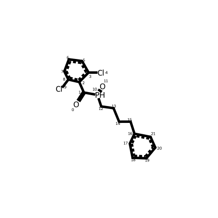 O=C(c1c(Cl)cccc1Cl)[PH](=O)CCCCc1ccccc1